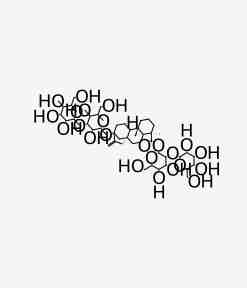 C=C1C[C@@]23CCC4[C@](C)(C(=O)OC5OC(CO)C(O)C(O)C5OC5OC(CO)C(O)C(O)C5O)CCC[C@@]4(C)[C@@H]2CCC1(OC1OC(CO)C(O)C(OC2OC(CO)C(O)C(O)C2O)C1O)C3